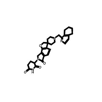 O=C1CCC(N2Cc3c(ccc4c3OCC43CCN(Cc4nccc5c4CCCC5)CC3)C2=O)C(=O)N1